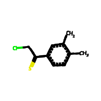 Cc1ccc(C(=S)CCl)cc1C